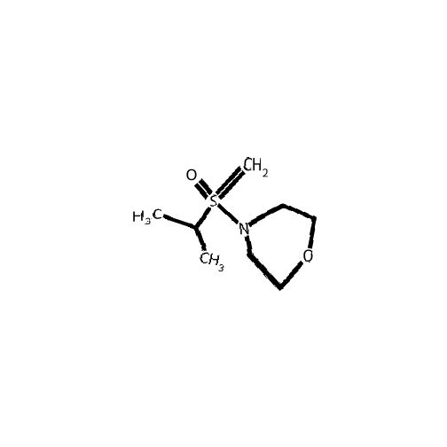 C=S(=O)(C(C)C)N1CCOCC1